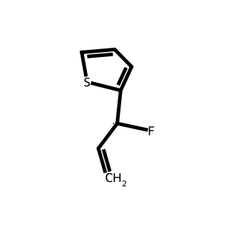 C=C[C](F)c1cccs1